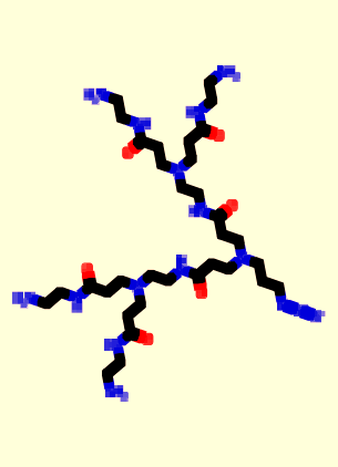 [N-]=[N+]=NCCCN(CCC(=O)NCCN(CCC(=O)NCCN)CCC(=O)NCCN)CCC(=O)NCCN(CCC(=O)NCCN)CCC(=O)NCCN